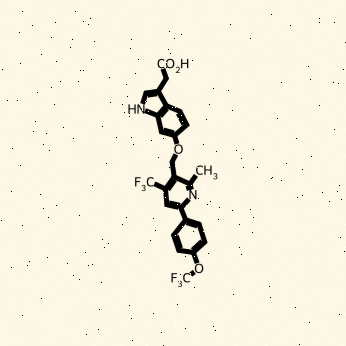 Cc1nc(-c2ccc(OC(F)(F)F)cc2)cc(C(F)(F)F)c1COc1ccc2c(CC(=O)O)c[nH]c2c1